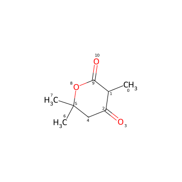 CC1C(=O)CC(C)(C)OC1=O